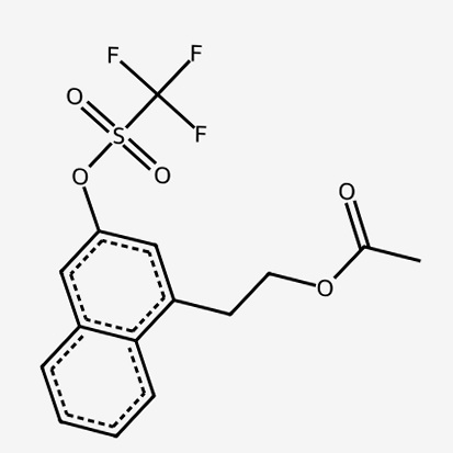 CC(=O)OCCc1cc(OS(=O)(=O)C(F)(F)F)cc2ccccc12